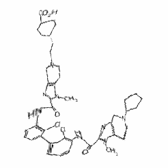 Cn1c(C(=O)Nc2cccc(-c3cccc(NC(=O)c4nc5c(n4C)CCN(C4CCCC4)C5)c3Cl)c2Cl)nc2c1CCN(CC[C@H]1CC[C@H](C(=O)O)CC1)C2